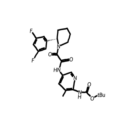 Cc1cc(NC(=O)C(=O)N2CCCC[C@H]2c2cc(F)cc(F)c2)cnc1NC(=O)OC(C)(C)C